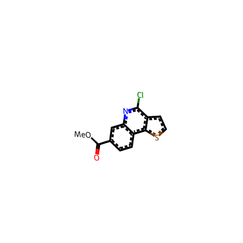 COC(=O)c1ccc2c(c1)nc(Cl)c1ccsc12